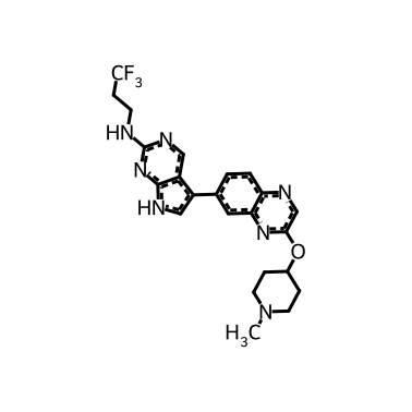 CN1CCC(Oc2cnc3ccc(-c4c[nH]c5nc(NCCC(F)(F)F)ncc45)cc3n2)CC1